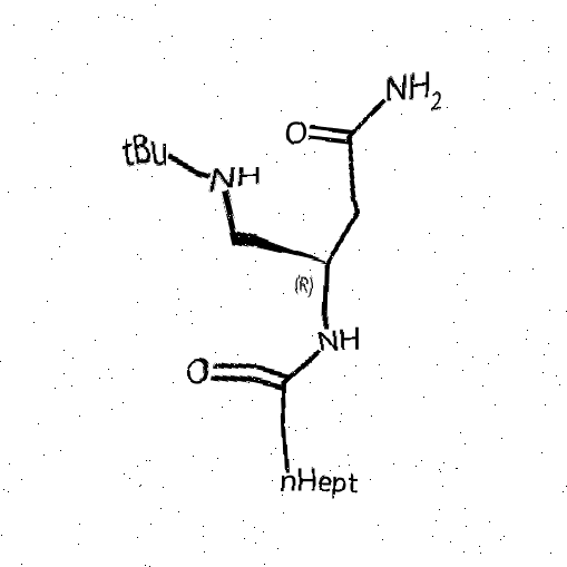 CCCCCCCC(=O)N[C@@H](CNC(C)(C)C)CC(N)=O